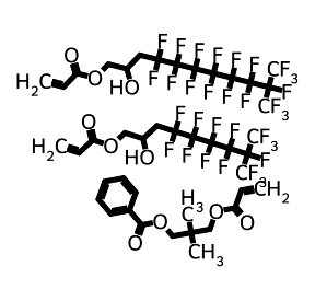 C=CC(=O)OCC(C)(C)COC(=O)c1ccccc1.C=CC(=O)OCC(O)CC(F)(F)C(F)(F)C(F)(F)C(F)(F)C(F)(C(F)(F)F)C(F)(F)F.C=CC(=O)OCC(O)CC(F)(F)C(F)(F)C(F)(F)C(F)(F)C(F)(F)C(F)(F)C(F)(C(F)(F)F)C(F)(F)F